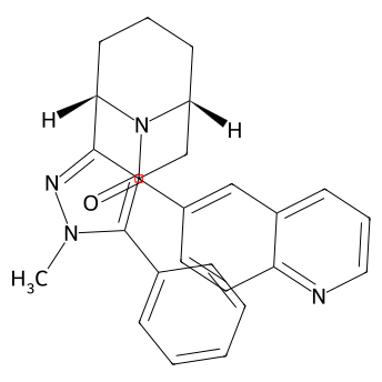 Cn1nc2c(c1-c1ccccc1)C[C@H]1CCC[C@@H]2N1C(=O)c1ccc2ncccc2c1